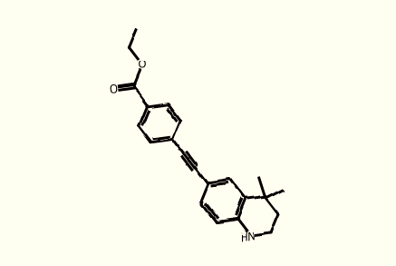 CCOC(=O)c1ccc(C#Cc2ccc3c(c2)C(C)(C)CCN3)cc1